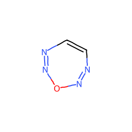 C1=CN=NON=N1